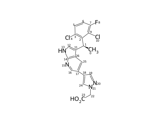 C[C@H](c1c(Cl)ccc(F)c1Cl)c1c[nH]c2ncc(-c3cnn(CC(=O)O)c3)cc12